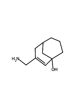 NCC1=CC2(O)CCCC(C1)C2